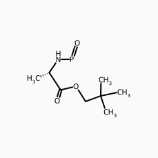 C[C@H](NP=O)C(=O)OCC(C)(C)C